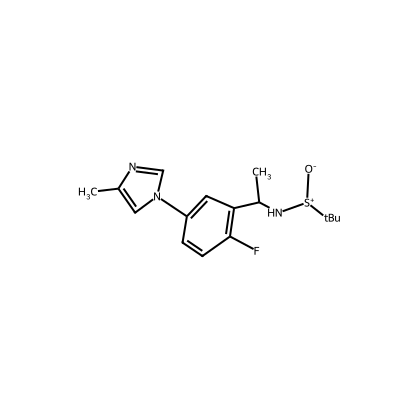 Cc1cn(-c2ccc(F)c(C(C)N[S+]([O-])C(C)(C)C)c2)cn1